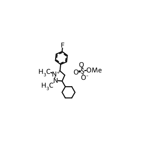 CN1C(C2CCCCC2)CC(c2ccc(F)cc2)=[N+]1C.COS(=O)(=O)[O-]